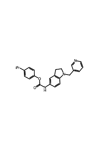 CC(C)c1ccc(OC(=O)Nc2ccc3c(c2)CCN3Cc2cccnc2)cc1